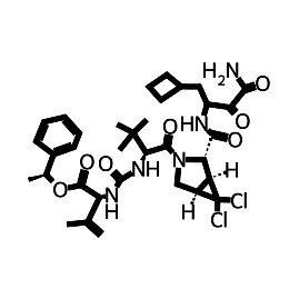 C=C(C)[C@H](NC(=O)N[C@H](C(=O)N1C[C@H]2[C@@H]([C@H]1C(=O)NC(CC1CCC1)C(=O)C(N)=O)C2(Cl)Cl)C(C)(C)C)C(=O)O[C@@H](C)c1ccccc1